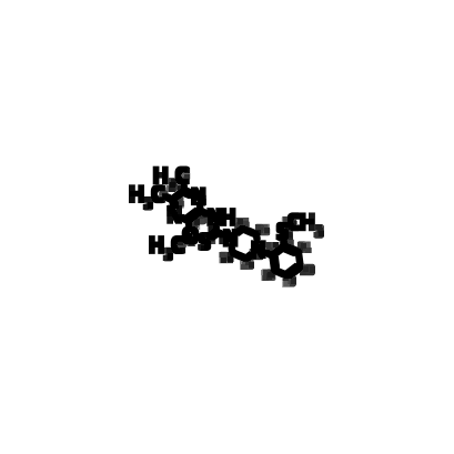 COc1nc(C)c(C)nc1NC(=S)N1CCN(c2ccccc2SC)CC1